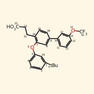 CC(C)(C)c1cccc(Oc2cc(-c3cccc(OC(F)(F)F)c3)ccc2CCC(=O)O)c1